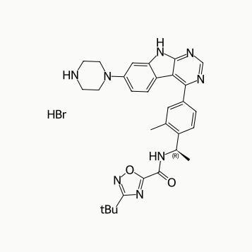 Br.Cc1cc(-c2ncnc3[nH]c4cc(N5CCNCC5)ccc4c23)ccc1[C@@H](C)NC(=O)c1nc(C(C)(C)C)no1